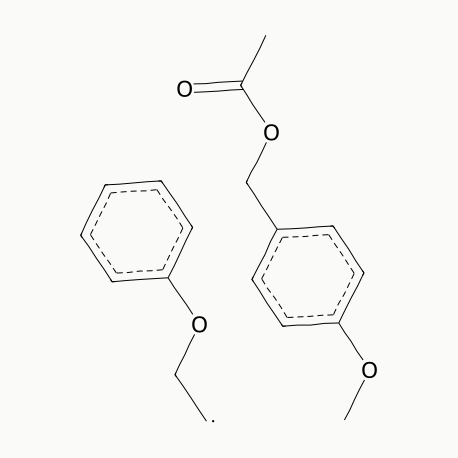 COc1ccc(COC(C)=O)cc1.[CH2]COc1ccccc1